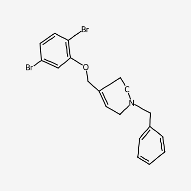 Brc1ccc(Br)c(OCC2=CCN(Cc3ccccc3)CC2)c1